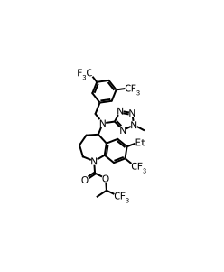 CCc1cc2c(cc1C(F)(F)F)N(C(=O)OC(C)C(F)(F)F)CCCC2N(Cc1cc(C(F)(F)F)cc(C(F)(F)F)c1)c1nnn(C)n1